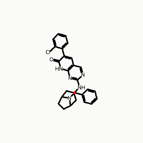 O=c1[nH]c2nc(NC3CC4CCC(C3)N4Cc3ccccc3)ncc2cc1-c1ccccc1Cl